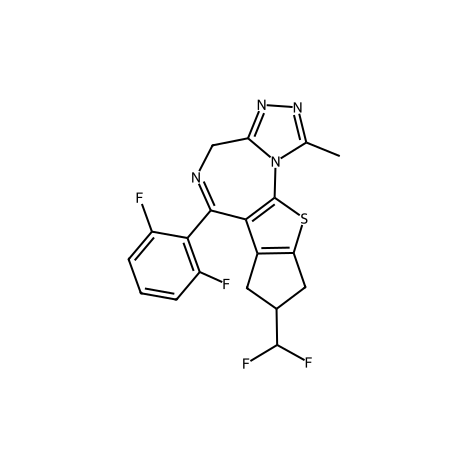 Cc1nnc2n1-c1sc3c(c1C(c1c(F)cccc1F)=NC2)CC(C(F)F)C3